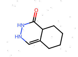 O=C1NNC=C2CCCCC12